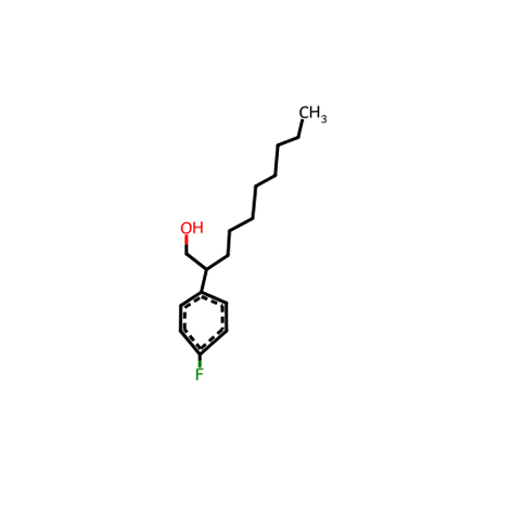 CCCCCCCCC(CO)c1ccc(F)cc1